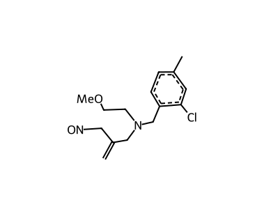 C=C(CN=O)CN(CCOC)Cc1ccc(C)cc1Cl